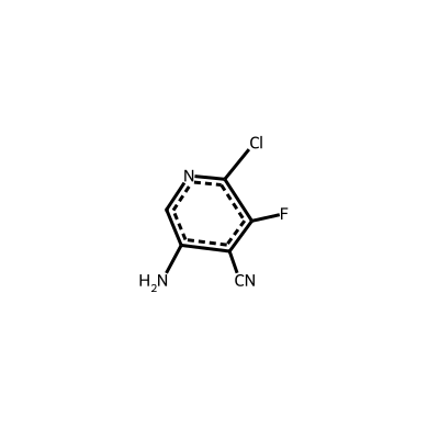 N#Cc1c(N)cnc(Cl)c1F